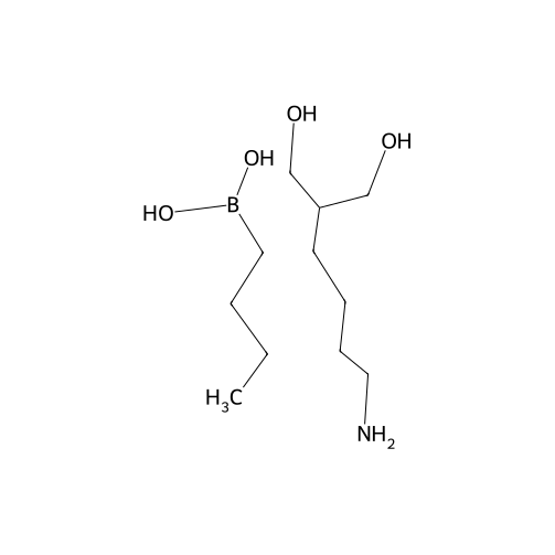 CCCCB(O)O.NCCCCC(CO)CO